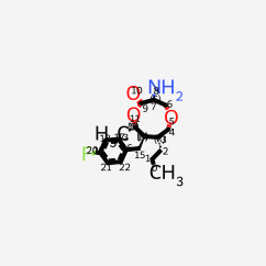 CCC[C@H]1COC[C@H](N)C(=O)O[C@@H](C)[C@@H]1Cc1ccc(F)cc1